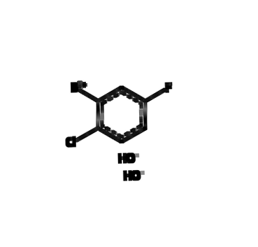 [B+2]c1cc(F)ccc1Cl.[OH-].[OH-]